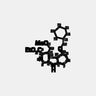 CCOC(=O)c1ncc2[nH]c3cccc(OCC4CCCCC4)c3c2c1COC